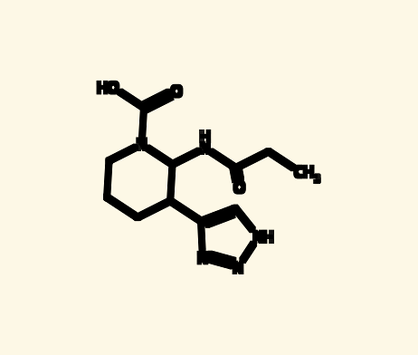 CCC(=O)NC1C(c2c[nH]nn2)CCCN1C(=O)O